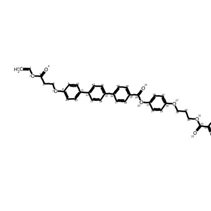 C=COC(=O)CCOc1ccc(-c2ccc(-c3ccc(C(=O)Oc4ccc(OCCCOC(=O)C(=C)F)cc4)cc3)cc2)cc1